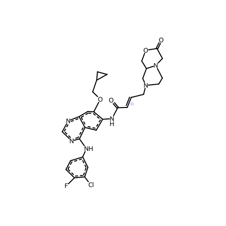 O=C(/C=C/CN1CCN2CC(=O)OCC2C1)Nc1cc2c(Nc3ccc(F)c(Cl)c3)ncnc2cc1OCC1CC1